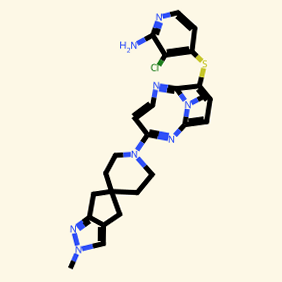 CN1C2=CC=C(Sc3ccnc(N)c3Cl)/C1=N/C=C/C(N1CCC3(CC1)Cc1cn(C)nc1C3)=N\2